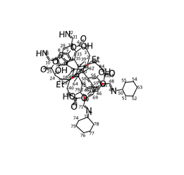 CCC12CCC(=O)Oc3cc(C=N)c(O)c(c3)C(C)(C)C1(C13C(CC)(CCC(=O)Oc4cc(C=N)c(O)c(c4)C1(C)C)CCC(=O)Oc1cc(/C=N/C4CCCCC4)c(O)c(c1)C3(C)C)C(C)(C)c1cc(cc(/C=N/C3CCCCC3)c1O)OC(=O)CC2